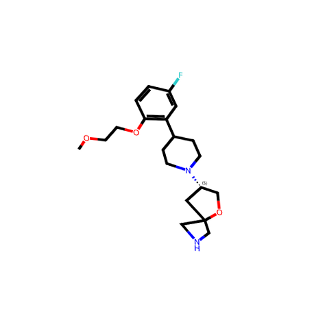 COCCOc1ccc(F)cc1C1CCN([C@@H]2COC3(CNC3)C2)CC1